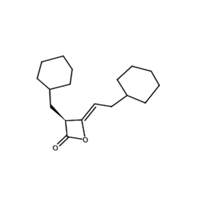 O=C1O/C(=C\CC2CCCCC2)[C@@H]1CC1CCCCC1